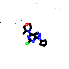 CC1COCCN1c1nc(Cl)nc2c1cnn2C1CCCC1